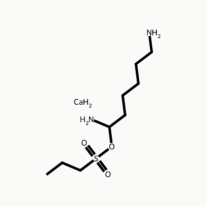 CCCS(=O)(=O)OC(N)CCCCCN.[CaH2]